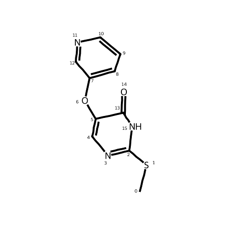 CSc1ncc(Oc2cccnc2)c(=O)[nH]1